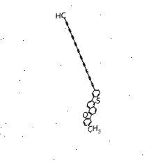 C#CC#CC#CC#CC#CC#CC#CC#CC#CC#CC#Cc1ccc2sc3c(ccc4c3ccc3c5cc(C)ccc5oc34)c2c1